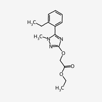 CCOC(=O)COc1nc(-c2ccccc2CC)n(C)n1